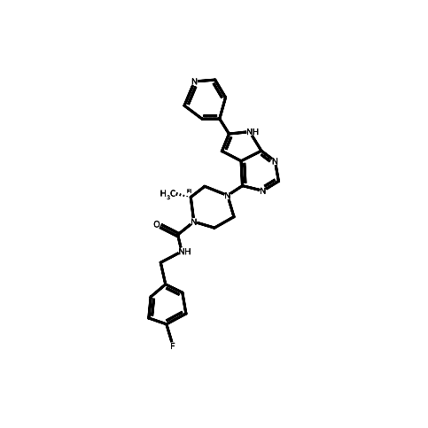 C[C@@H]1CN(c2ncnc3[nH]c(-c4ccncc4)cc23)CCN1C(=O)NCc1ccc(F)cc1